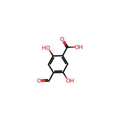 O=Cc1cc(O)c(C(=O)O)cc1O